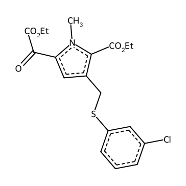 CCOC(=O)C(=O)c1cc(CSc2cccc(Cl)c2)c(C(=O)OCC)n1C